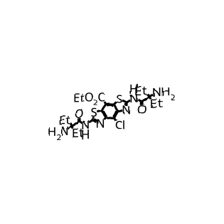 CCOC(=O)c1c2sc(NC(=O)C(N)(CC)CC)nc2c(Cl)c2nc(NC(=O)C(N)(CC)CC)sc12